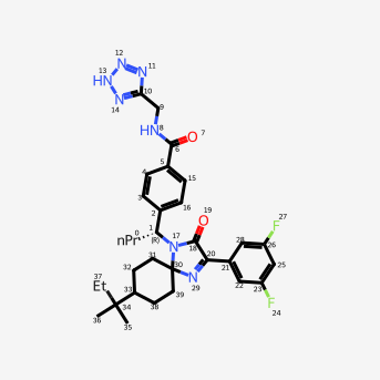 CCC[C@H](c1ccc(C(=O)NCc2nn[nH]n2)cc1)N1C(=O)C(c2cc(F)cc(F)c2)=NC12CCC(C(C)(C)CC)CC2